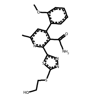 COc1ccccc1-c1cc(C)nc(-c2nnc(SCCO)s2)c1C(N)=O